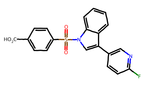 O=C(O)c1ccc(S(=O)(=O)n2cc(-c3ccc(F)nc3)c3ccccc32)cc1